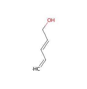 [CH]=C/C=C/CO